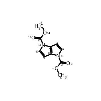 COC(=O)n1ccc2c1ccn2C(=O)OC